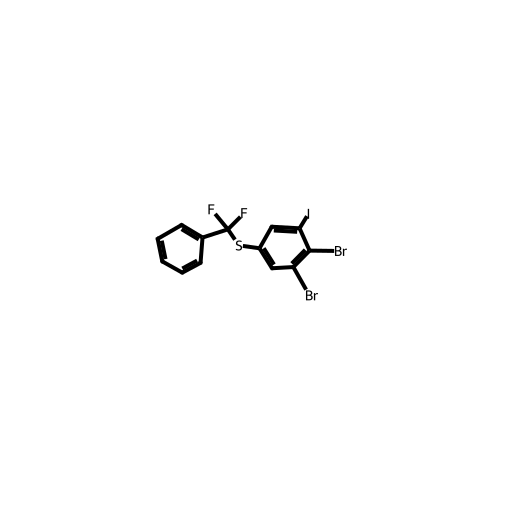 FC(F)(Sc1cc(Br)c(Br)c(I)c1)c1ccccc1